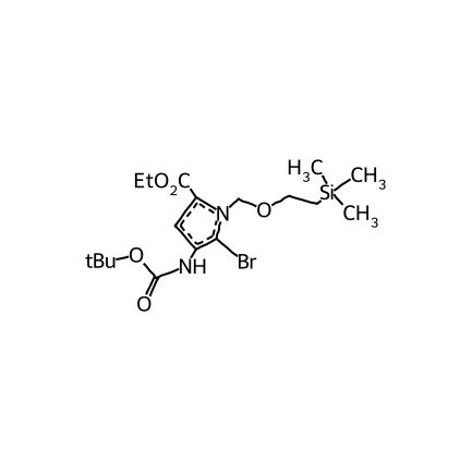 CCOC(=O)c1cc(NC(=O)OC(C)(C)C)c(Br)n1COCC[Si](C)(C)C